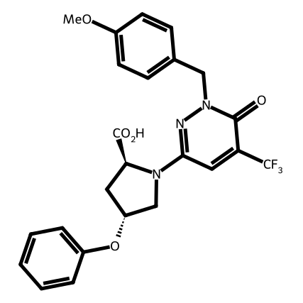 COc1ccc(Cn2nc(N3C[C@H](Oc4ccccc4)C[C@H]3C(=O)O)cc(C(F)(F)F)c2=O)cc1